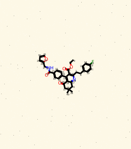 CCOC(=O)c1c(CCc2ccc(F)cc2)nc2c(c1-c1ccc(C(=O)NCc3ccco3)cc1)C(=O)CC(C)(C)C2